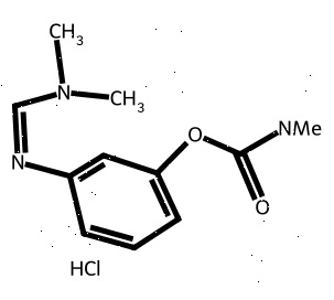 CNC(=O)Oc1cccc(/N=C\N(C)C)c1.Cl